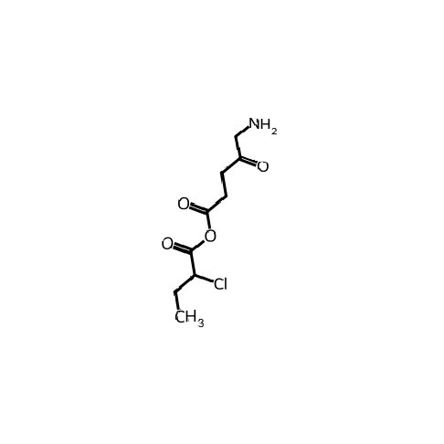 CCC(Cl)C(=O)OC(=O)CCC(=O)CN